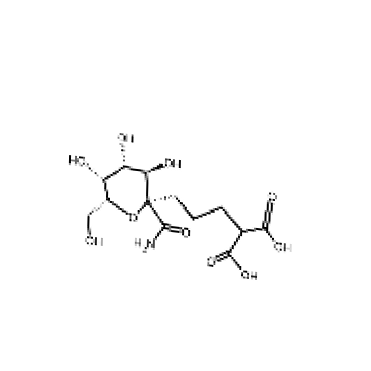 NC(=O)[C@@]1(CCCC(C(=O)O)C(=O)O)O[C@H](CO)[C@H](O)[C@H](O)[C@H]1O